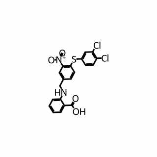 O=C(O)c1ccccc1NCc1ccc(Sc2ccc(Cl)c(Cl)c2)c([N+](=O)[O-])c1